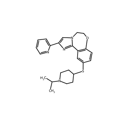 CC(C)N1CCC(Sc2ccc3c(c2)-c2nc(-c4ccccn4)cn2CCO3)CC1